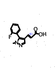 Cn1ncc(/C=C/C(=O)O)c1-c1ccccc1F